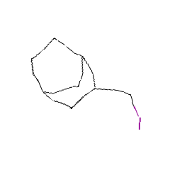 ICC1CC2CCC1C2